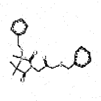 CC1(C)C(=O)N(CC(=O)CSCc2ccccc2)C(=O)[N+]1(C)SCc1ccccc1